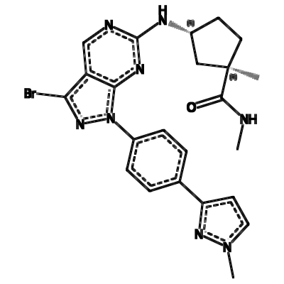 CNC(=O)[C@]1(C)CC[C@@H](Nc2ncc3c(Br)nn(-c4ccc(-c5ccn(C)n5)cc4)c3n2)C1